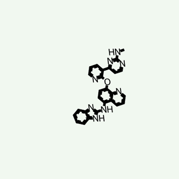 CNc1nccc(-c2cccnc2Oc2ccc(Nc3nc4ccccc4[nH]3)c3cccnc23)n1